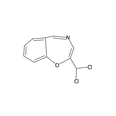 ClC(Cl)C1=CN=Cc2ccccc2O1